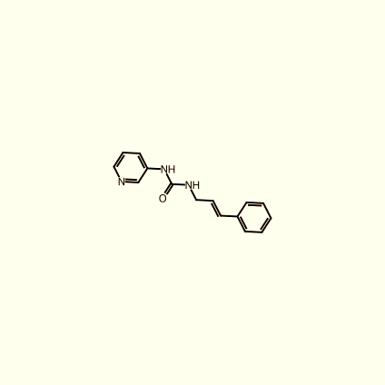 O=C(NCC=Cc1ccccc1)Nc1cccnc1